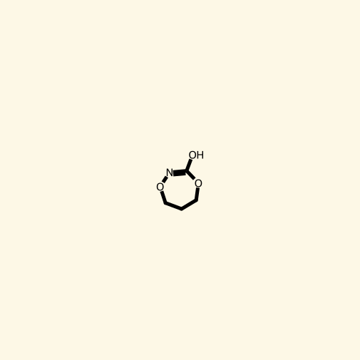 OC1=NOCCCO1